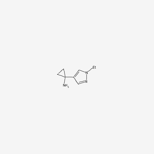 CCn1cc(C2(N)CC2)cn1